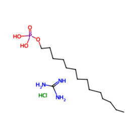 CCCCCCCCCCCCCCOP(=O)(O)O.Cl.N=C(N)N